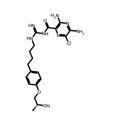 C[C@H](O)COc1ccc(CCCCNC(=N)NC(=O)c2nc(Cl)c(N)nc2N)cc1